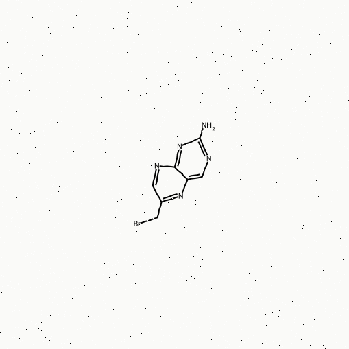 Nc1ncc2nc(CBr)cnc2n1